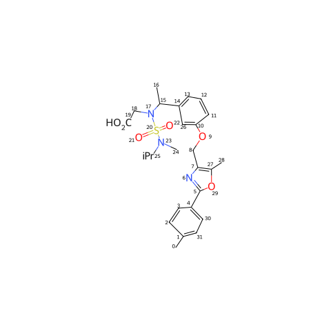 Cc1ccc(-c2nc(COc3cccc(C(C)N(CC(=O)O)S(=O)(=O)N(C)C(C)C)c3)c(C)o2)cc1